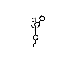 CCCc1ccc(C#CC2(CC)C=CC(c3ccccc3)=C(Cl)C2)cc1